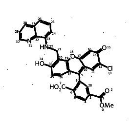 COC(=O)c1ccc(C(=O)O)c(-c2c3cc(Cl)c(=O)cc-3oc3c(CNc4cccc5cccnc45)c(O)ccc23)c1